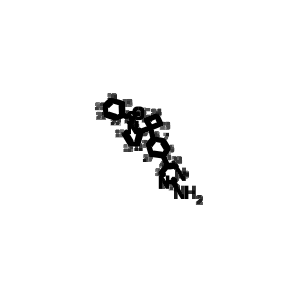 Nc1ncc(-c2ccc(C3(c4cccn4[S+]([O-])c4ccccc4)CCC3)cc2)cn1